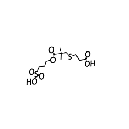 CC(C)(CSCCC(=O)O)C(=O)OCCCS(=O)(=O)O